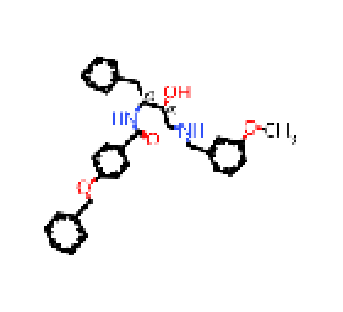 COc1cccc(CNC[C@H](O)[C@H](Cc2ccccc2)NC(=O)c2ccc(OCc3ccccc3)cc2)c1